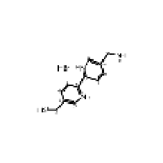 Br.SCc1ccc(-c2ccc(CS)cn2)nc1